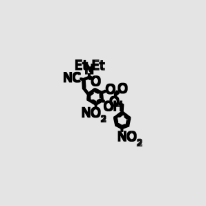 CCN(CC)C(=O)C(C#N)=Cc1cc(OC(=O)OCc2ccc([N+](=O)[O-])cc2)c(O)c([N+](=O)[O-])c1